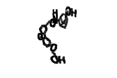 OCCOc1ccc2oc3ccc(CONC4C5CC6CC4CC(O)(C6)C5)cc3c2c1